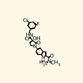 CN(C)C(=O)c1cc2cc(N3CC[C@@](O)(C(=O)NCc4cc(F)cc(Cl)c4)C3=O)ccc2[nH]1